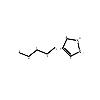 C1=CSSC1.CCCCC